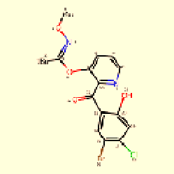 CC(C)(C)ON=C(Oc1cccnc1C(=O)c1cc(Br)c(Cl)cc1O)C(C)(C)C